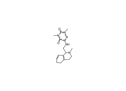 CN1CCC2=C(C=CCC2)C1CNc1nn(C)c(=O)n(C)c1=O